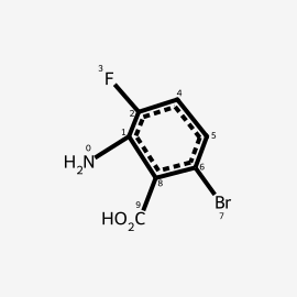 Nc1c(F)ccc(Br)c1C(=O)O